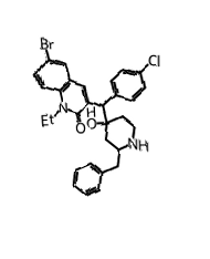 CCn1c(=O)c(C(c2ccc(Cl)cc2)C2(O)CCNC(Cc3ccccc3)C2)cc2cc(Br)ccc21